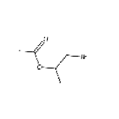 CC(=O)OC(C)CBr